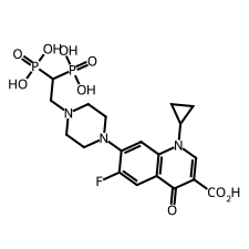 O=C(O)c1cn(C2CC2)c2cc(N3CCN(CC(P(=O)(O)O)P(=O)(O)O)CC3)c(F)cc2c1=O